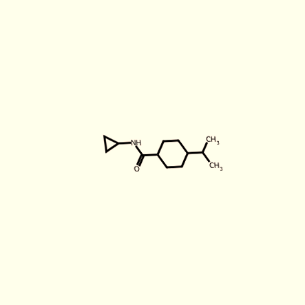 CC(C)C1CCC(C(=O)NC2CC2)CC1